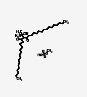 CCCCCCCCCCCCCCCC(=O)C(C(=O)CCCCCCCCCCCCCCC)C(C)(N)O.COS(=O)(=O)O